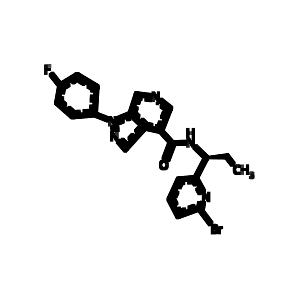 CC[C@H](NC(=O)c1cncc2c1cnn2-c1ccc(F)cc1)c1cccc(Br)n1